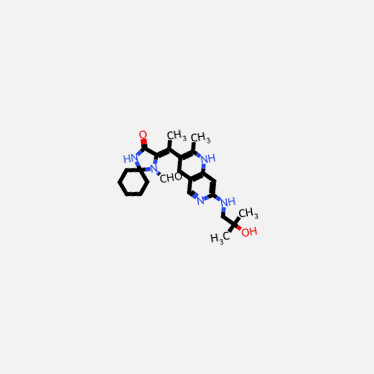 CC1=C(/C(C)=C2/C(=O)NC3(CCCCC3)N2C=O)Cc2cnc(NCC(C)(C)O)cc2N1